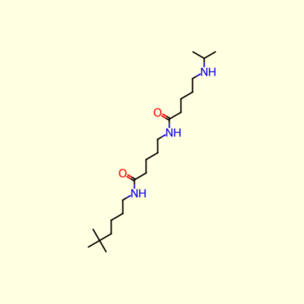 CC(C)NCCCCC(=O)NCCCCC(=O)NCCCCC(C)(C)C